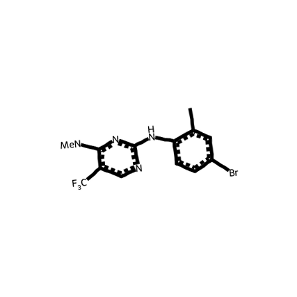 CNc1nc(Nc2ccc(Br)cc2C)ncc1C(F)(F)F